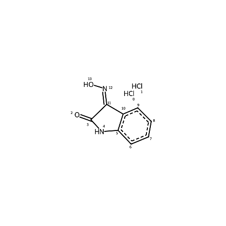 Cl.Cl.O=C1Nc2ccccc2C1=NO